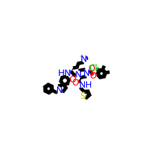 Cc1ccc(OC(=O)N2CCN(C(=O)[C@@H](CCCCN(C)C)NC3CCC4(CC3)CCN(Cc3ccccc3)C4)[C@H](C(=O)NCc3cccs3)C2)c(Cl)c1C